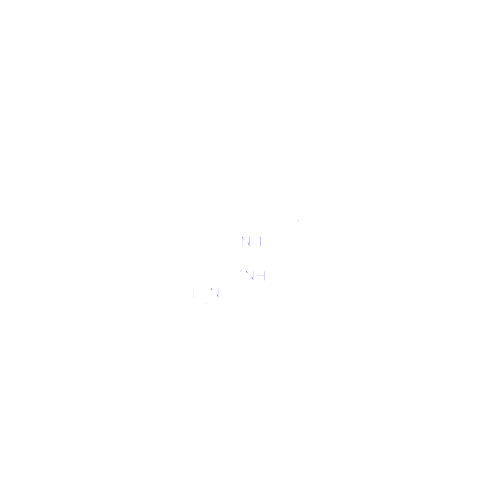 C1CC1.NNN